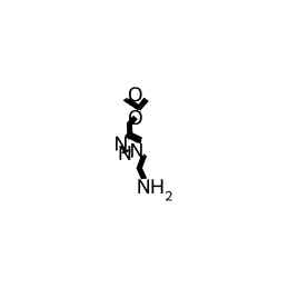 NCCCn1cc(COC2COC2)nn1